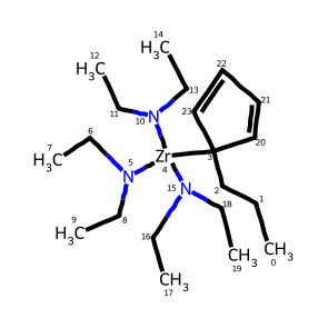 CCC[C]1([Zr]([N](CC)CC)([N](CC)CC)[N](CC)CC)C=CC=C1